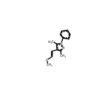 CO/C=C/c1c(C)nn(-c2ccccc2)c1C